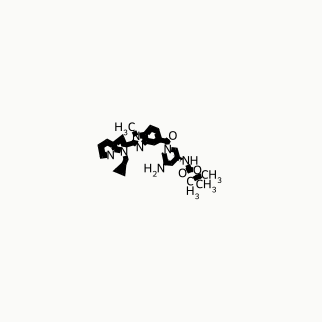 Cn1c(-c2cc3cccnc3n2CC2CC2)nc2cc(C(=O)N3C[C@H](N)C[C@H](NC(=O)OC(C)(C)C)C3)ccc21